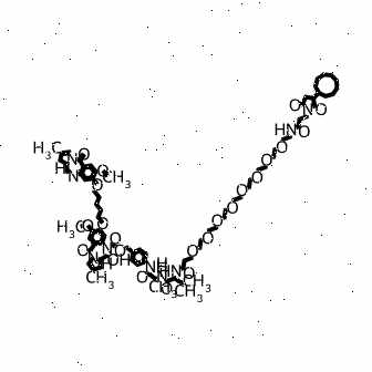 COc1cc2c(cc1OCCCCCOc1cc3c(cc1OC)C(=O)N1C=C(C)C[C@H]1[C@H](O)N3C(=O)OCc1ccc(NC(=O)[C@H](C)NC(=O)[C@@H](NC(=O)CCOCCOCCOCCOCCOCCOCCOCCOCCNC(=O)CCN3C(=O)CC(C4CCCCCCCC4)C3=O)C(C)C)cc1)N=C[C@@H]1CC(C)=CN1C2=O